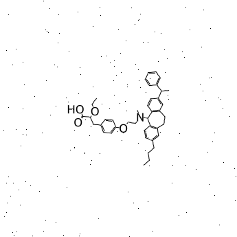 CCCCc1ccc2c(c1)CCc1cc(C(C)c3ccccc3)ccc1C2N(C)CCOc1ccc(CC(OCC)C(=O)O)cc1